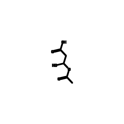 CC(=O)OC(O)CC(=O)O